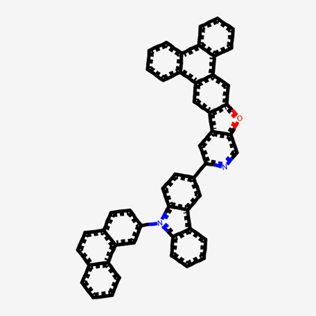 c1ccc2c(c1)ccc1ccc(-n3c4ccccc4c4cc(-c5cc6c(cn5)oc5cc7c8ccccc8c8ccccc8c7cc56)ccc43)cc12